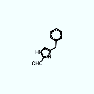 O=Cc1nc(Cc2ccccc2)c[nH]1